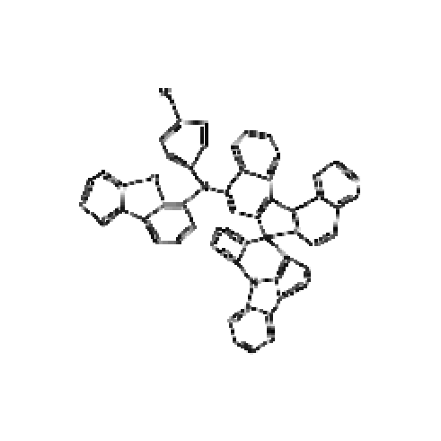 N#Cc1ccc(N(c2cc3c(c4ccccc24)-c2c(ccc4ccccc24)C32c3ccccc3-n3c4ccccc4c4cccc2c43)c2cccc3c2oc2ccccc23)cc1